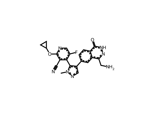 Cn1ncc(-c2ccc3c(=O)[nH]nc(CN)c3c2)c1-c1c(F)cnc(OC2CC2)c1C#N